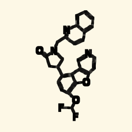 O=C1CC(c2ccc(OC(F)F)c3oc4ccncc4c23)CN1Cc1ccc2ccccc2n1